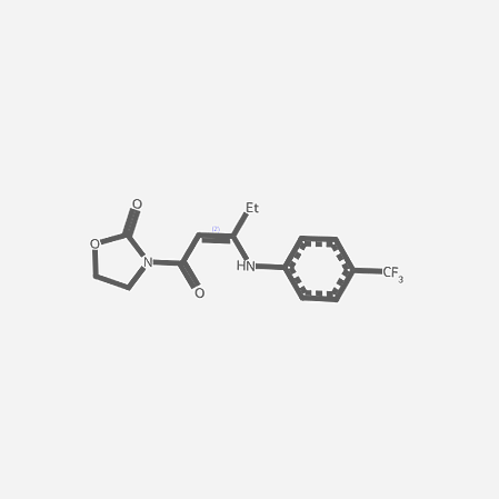 CC/C(=C/C(=O)N1CCOC1=O)Nc1ccc(C(F)(F)F)cc1